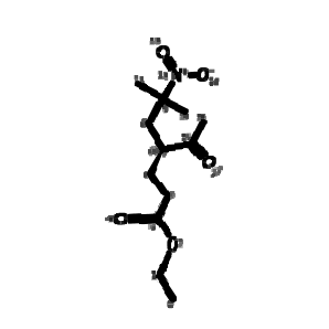 CCOC(=O)CC[C@@H](CC(C)(C)[N+](=O)[O-])C(C)=O